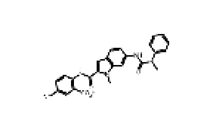 CN(C(=O)Nc1ccc2cc(C(=O)Nc3ccc(C#N)cc3C(=O)O)n(C)c2c1)c1ccccc1